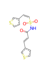 O=C(/C=C/c1ccsc1)NS(=O)(=O)/C=C\c1ccsc1